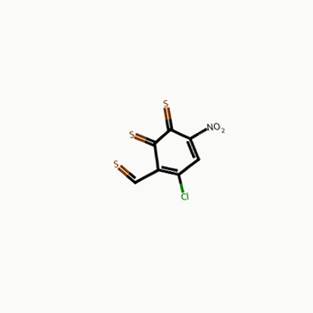 O=[N+]([O-])C1=CC(Cl)=C(C=S)C(=S)C1=S